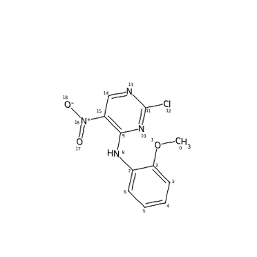 COc1ccccc1Nc1nc(Cl)ncc1[N+](=O)[O-]